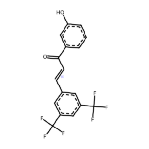 O=C(/C=C/c1cc(C(F)(F)F)cc(C(F)(F)F)c1)c1cccc(O)c1